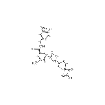 CCN(O)C(=O)N1CCC(C2CC(c3cc(C(=O)NCc4ccc(F)c(OC)c4)nc(C)n3)=NO2)CC1